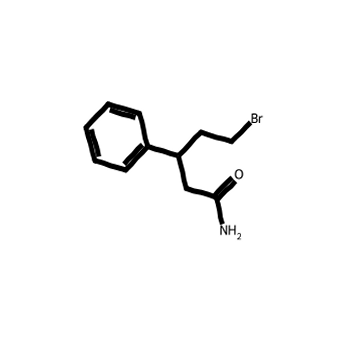 NC(=O)CC(CCBr)c1ccccc1